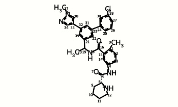 Cc1ccc(NC(=O)[C@H]2CCCCN2)cc1C(=O)NC(C)c1cc(-c2cccc(Cl)c2)cc(-c2cnn(C)c2)c1